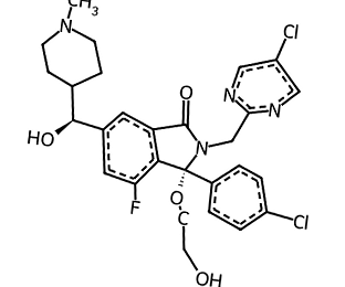 CN1CCC([C@H](O)c2cc(F)c3c(c2)C(=O)N(Cc2ncc(Cl)cn2)[C@@]3(OCCO)c2ccc(Cl)cc2)CC1